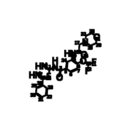 N=C(NC(=O)c1ccc(OC(F)F)c(NC(=O)CN2CCOCC2)c1)SC(=N)c1ccccc1